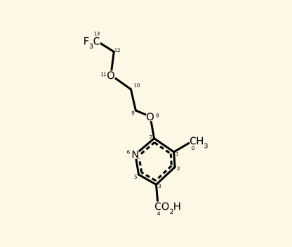 Cc1cc(C(=O)O)cnc1OCCOCC(F)(F)F